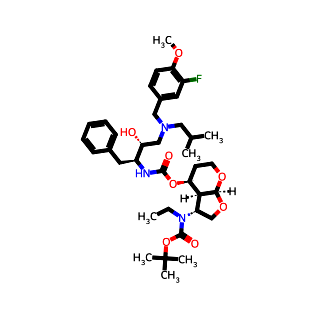 CCN(C(=O)OC(C)(C)C)[C@H]1CO[C@@H]2OCC[C@H](OC(=O)N[C@@H](Cc3ccccc3)[C@H](O)CN(Cc3ccc(OC)c(F)c3)CC(C)C)[C@@H]21